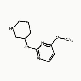 COc1ccnc(NC2CCCNC2)n1